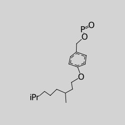 CC(C)CCCC(C)CCOc1ccc(COP=O)cc1